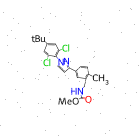 COC(=O)NCc1cc(-c2ccn(-c3c(Cl)cc(C(C)(C)C)cc3Cl)n2)ccc1C